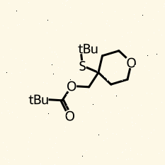 CC(C)(C)SC1(COC(=O)C(C)(C)C)CCOCC1